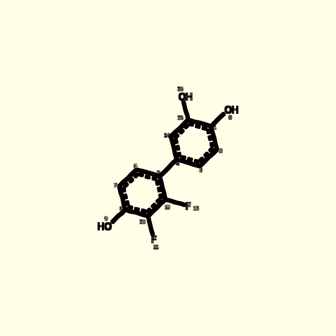 Oc1ccc(-c2ccc(O)c(F)c2F)cc1O